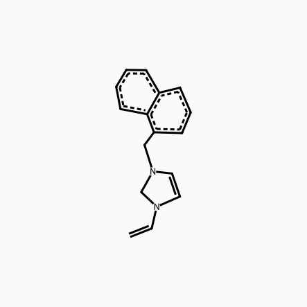 C=CN1C=CN(Cc2cccc3ccccc23)C1